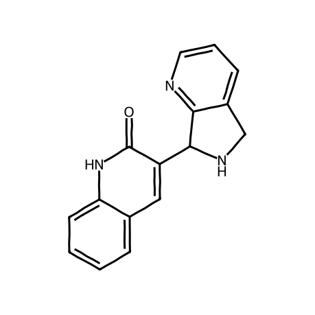 O=c1[nH]c2ccccc2cc1C1NCc2cccnc21